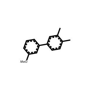 COc1cccc(-c2ccc(C)c(C)c2)c1